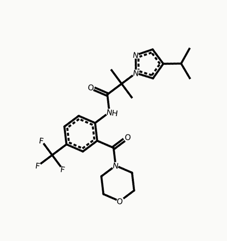 CC(C)c1cnn(C(C)(C)C(=O)Nc2ccc(C(F)(F)F)cc2C(=O)N2CCOCC2)c1